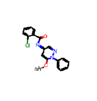 CCCOc1cc(=NC(=O)c2ccccc2Cl)cnn1-c1ccccc1